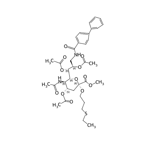 CCSCCCO[C@]1(C(=O)OC)C[C@H](OC(C)=O)[C@@H](NC(C)=O)[C@H]([C@H](OC(C)=O)[C@@H](CNC(=O)c2ccc(-c3ccccc3)cc2)OC(C)=O)O1